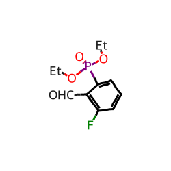 CCOP(=O)(OCC)c1cccc(F)c1C=O